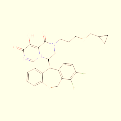 O=C1c2c(O)c(=O)ncn2C([C@@H]2c3ccccc3SCc3c2ccc(F)c3F)CN1CCCSCC1CC1